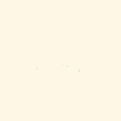 [CH3][Am][C](C)=O